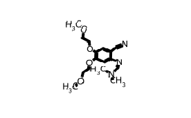 COCCOc1cc(C#N)c(/N=C\N(C)C)cc1OCCOC